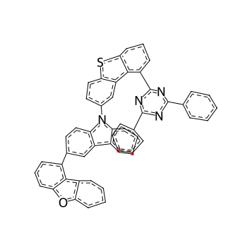 c1ccc(-c2nc(-c3ccccc3)nc(-c3cccc4sc5ccc(-n6c7ccccc7c7cc(-c8cccc9oc%10ccccc%10c89)ccc76)cc5c34)n2)cc1